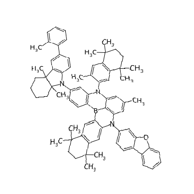 Cc1cc2c3c(c1)N(c1cc4c(cc1C)C(C)(C)CCC4(C)C)c1cc(N4c5ccc(-c6ccccc6C)cc5C5(C)CCCCC45C)ccc1B3c1cc3c(cc1N2c1ccc2c(c1)oc1ccccc12)C(C)(C)CCC3(C)C